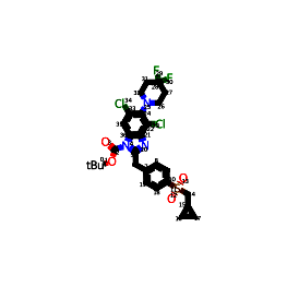 CC(C)(C)OC(=O)n1c(Cc2ccc(S(=O)(=O)CC3CC3)cc2)nc2c(Cl)c(N3CCC(F)(F)CC3)c(Cl)cc21